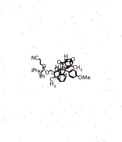 COc1ccc(C(N[C@H]2[C@H]3O[C@H](C)[C@]2(COP(OCCC#N)N(C(C)C)C(C)C)O[C@H]3n2cc(C)c(=O)[nH]c2=O)(c2ccccc2)c2ccccc2)cc1